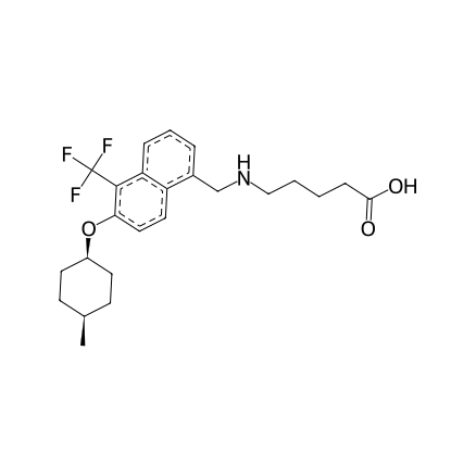 C[C@H]1CC[C@@H](Oc2ccc3c(CNCCCCC(=O)O)cccc3c2C(F)(F)F)CC1